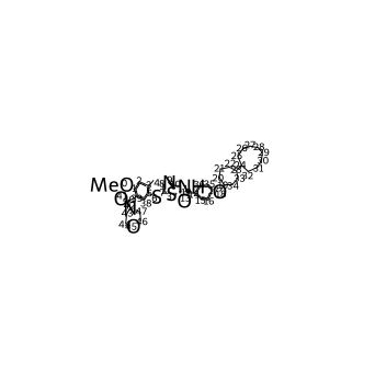 COc1cc(C)c(Sc2cnc(NC(=O)c3ccc(OC4CCCC(C5CCCCCCCC5)CC4)cc3)s2)cc1C(=O)N1CCOCC1